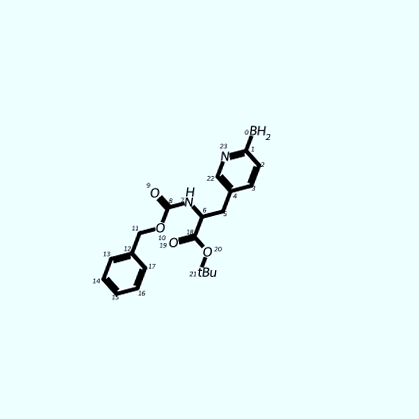 Bc1ccc(CC(NC(=O)OCc2ccccc2)C(=O)OC(C)(C)C)cn1